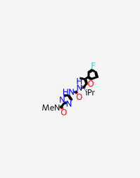 CNC(=O)c1ncc(NC(=O)N[C@H](c2oc3ccc(F)cc3c2C)C(C)C)cn1